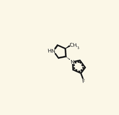 C[C@@H]1CNC[C@H]1n1ccc(F)c1